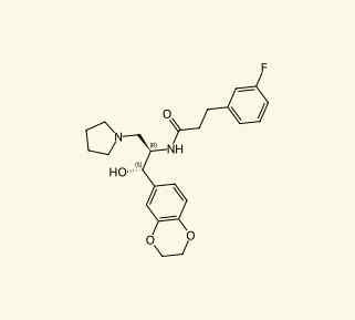 O=C(CCc1cccc(F)c1)N[C@H](CN1CCCC1)[C@@H](O)c1ccc2c(c1)OCCO2